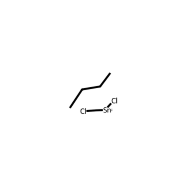 CCCC.[Cl][Sn][Cl]